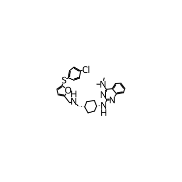 CN(C)c1nc(N[C@H]2CC[C@@H](CNCc3ccc(Sc4ccc(Cl)cc4)o3)CC2)nc2ccccc12